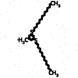 [CH2]c1cc(SCCCCCCCCCCCCCCC)cc(SCCCCCCCCCCCCCCC)c1